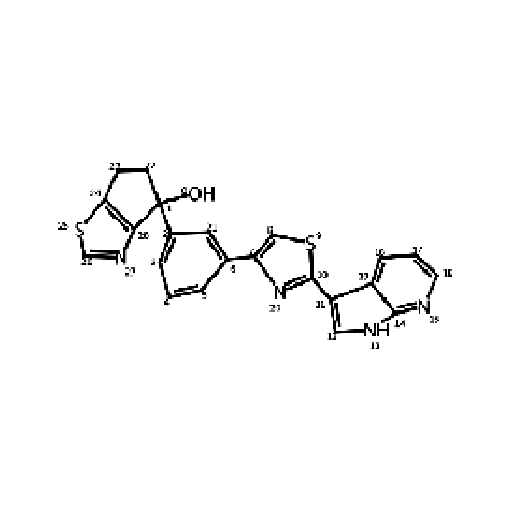 OC1(c2cccc(-c3csc(-c4c[nH]c5ncccc45)n3)c2)CCc2scnc21